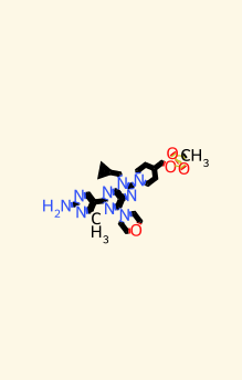 Cc1nc(N)ncc1-c1nc(N2CCOCC2)c2nc(N3CCC(COS(C)(=O)=O)CC3)n(CC3CC3)c2n1